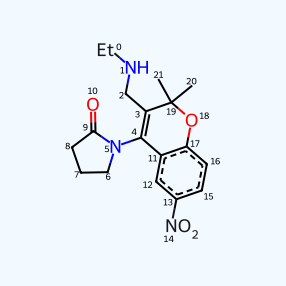 CCNCC1=C(N2CCCC2=O)c2cc([N+](=O)[O-])ccc2OC1(C)C